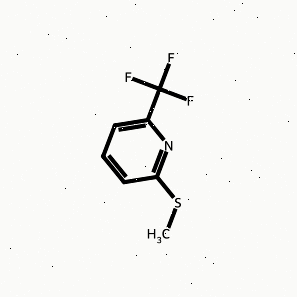 CSc1cccc(C(F)(F)F)n1